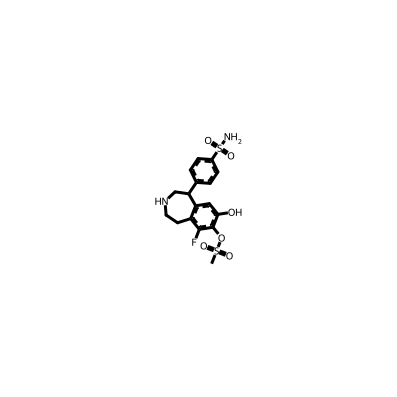 CS(=O)(=O)Oc1c(O)cc2c(c1F)CCNCC2c1ccc(S(N)(=O)=O)cc1